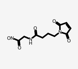 O=NC(=O)CNC(=O)CCCN1C(=O)C=CC1=O